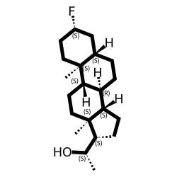 C[C@H](O)[C@H]1CC[C@H]2[C@@H]3CC[C@H]4C[C@@H](F)CC[C@]4(C)[C@H]3CC[C@]12C